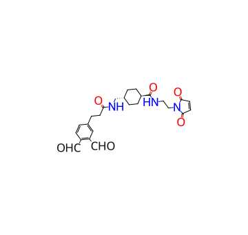 O=Cc1ccc(CCC(=O)NC[C@H]2CC[C@H](C(=O)NCCN3C(=O)C=CC3=O)CC2)cc1C=O